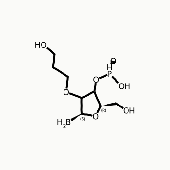 B[C@@H]1O[C@H](CO)C(O[PH](=O)O)C1OCCCO